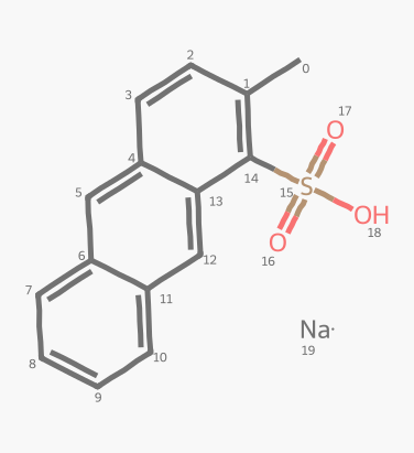 Cc1ccc2cc3ccccc3cc2c1S(=O)(=O)O.[Na]